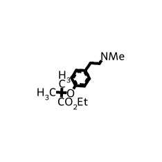 CCOC(=O)C(C)(C)Oc1ccc(CCNC)cc1